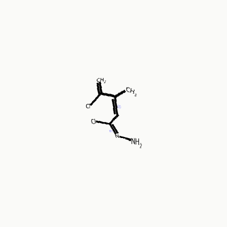 C=C(Cl)/C(C)=C\C(Cl)=N/N